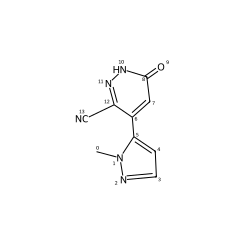 Cn1nccc1-c1cc(=O)[nH]nc1C#N